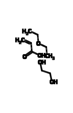 C=CC(=O)O.CCOCC.OCCO